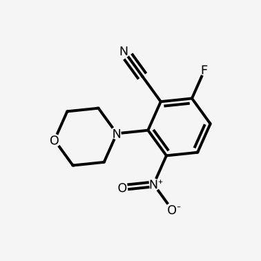 N#Cc1c(F)ccc([N+](=O)[O-])c1N1CCOCC1